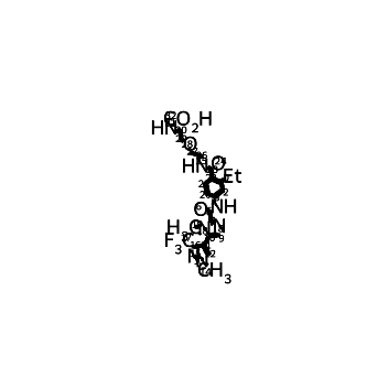 CCc1cc(NC(=O)c2ncc(-c3cn(C)nc3C(F)(F)F)n2C)ccc1C(=O)NCCOCCNC(=O)O